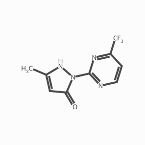 Cc1cc(=O)n(-c2nccc(C(F)(F)F)n2)[nH]1